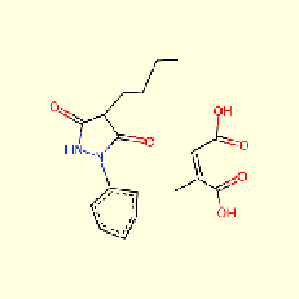 C/C(=C/C(=O)O)C(=O)O.CCCCC1C(=O)NN(c2ccccc2)C1=O